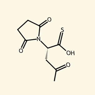 CC(=O)C[C@@H](C(O)=S)N1C(=O)CCC1=O